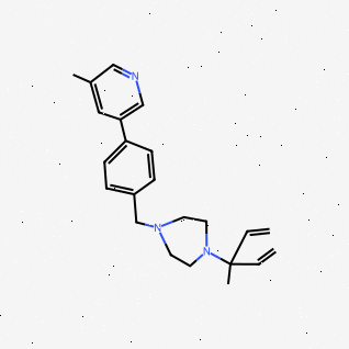 C=CC(C)(C=C)N1CCN(Cc2ccc(-c3cncc(C)c3)cc2)CC1